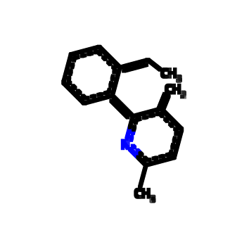 C=c1ccc(C)n/c1=c1\cccc\c1=C\C